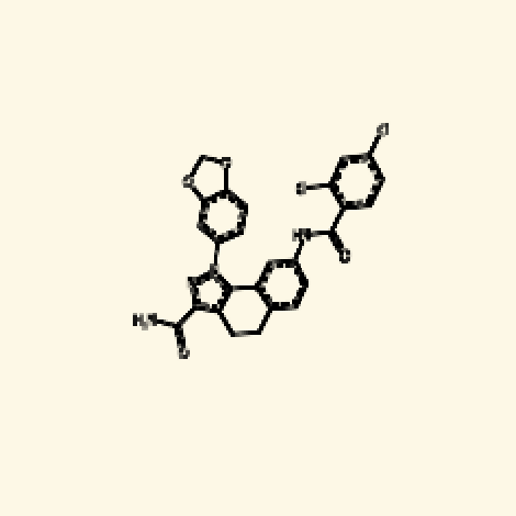 NC(=O)c1nn(-c2ccc3c(c2)OCO3)c2c1CCc1ccc(NC(=O)c3ccc(Cl)cc3Cl)cc1-2